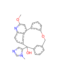 COc1cc2c3cc(ccc3n1)C(O)(c1cncn1C)c1cccc(c1)COc1cccc-2c1